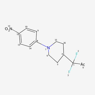 CC(=O)C(F)(F)C1CCN(c2ccc([N+](=O)[O-])cc2)CC1